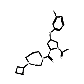 CC(=O)N1C[C@H](Oc2cccc(F)c2)C[C@@H]1C(=O)N1CCCN(C2CCC2)CC1